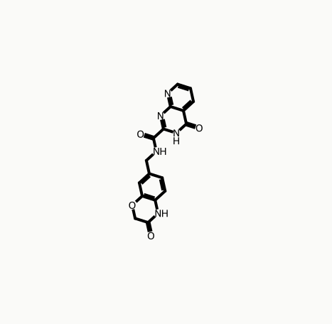 O=C1COc2cc(CNC(=O)c3nc4ncccc4c(=O)[nH]3)ccc2N1